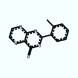 Cc1ccccc1-c1nc2nccnc2c(=O)o1